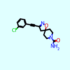 NC(=O)N1CCC2(CC1)CC(C#Cc1cccc(Cl)c1)=NO2